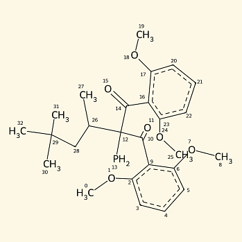 COc1cccc(OC)c1C(=O)C(P)(C(=O)c1c(OC)cccc1OC)C(C)CC(C)(C)C